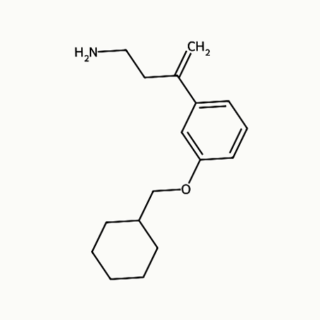 C=C(CCN)c1cccc(OCC2CCCCC2)c1